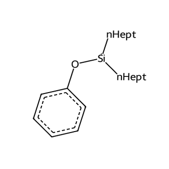 CCCCCCC[Si](CCCCCCC)Oc1ccccc1